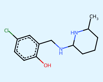 CC1CCCC(NCc2cc(Cl)ccc2O)N1